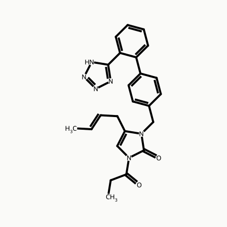 C/C=C/Cc1cn(C(=O)CC)c(=O)n1Cc1ccc(-c2ccccc2-c2nnn[nH]2)cc1